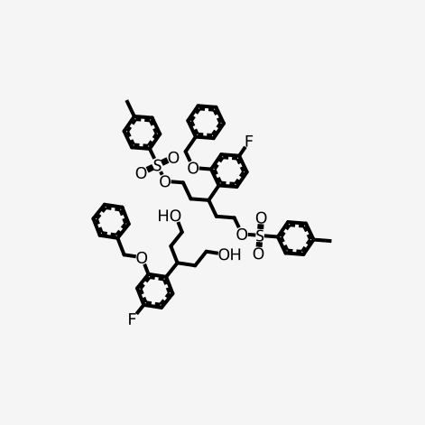 Cc1ccc(S(=O)(=O)OCCC(CCOS(=O)(=O)c2ccc(C)cc2)c2ccc(F)cc2OCc2ccccc2)cc1.OCCC(CCO)c1ccc(F)cc1OCc1ccccc1